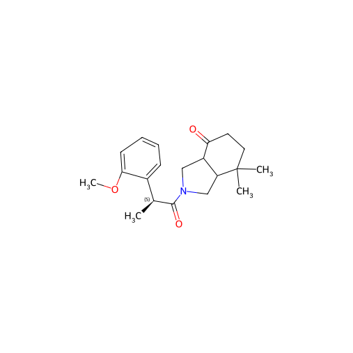 COc1ccccc1[C@H](C)C(=O)N1CC2C(=O)CCC(C)(C)C2C1